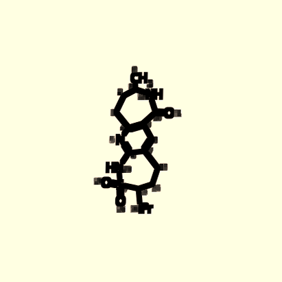 CC1CCc2nc3c(cc2C(=O)N1)CCC(C(C)C)S(=O)(=O)N3